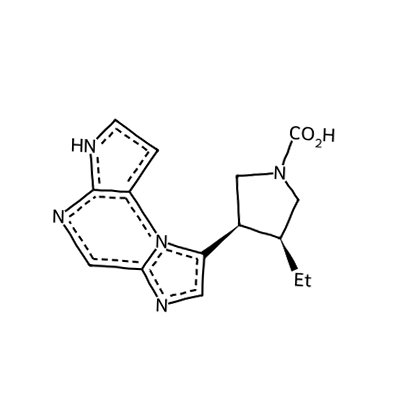 CC[C@@H]1CN(C(=O)O)C[C@@H]1c1cnc2cnc3[nH]ccc3n12